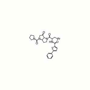 CC(C)CC(NC(=O)c1ccc(-c2ccccc2)s1)C(=O)N1CCC2C1C(=O)CN2C(=O)N1CCCC1